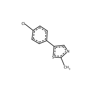 Cc1ncc(-c2ccc(Cl)cc2)s1